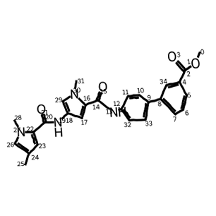 COC(=O)c1cccc(-c2ccc(NC(=O)c3cc(NC(=O)c4cc(C)cn4C)cn3C)cc2)c1